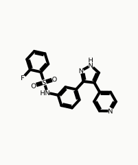 O=S(=O)(Nc1cccc(-c2n[nH]cc2-c2ccncc2)c1)c1ccccc1F